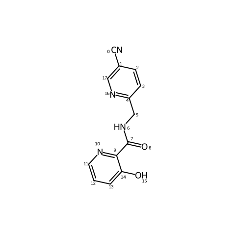 N#Cc1ccc(CNC(=O)c2ncccc2O)nc1